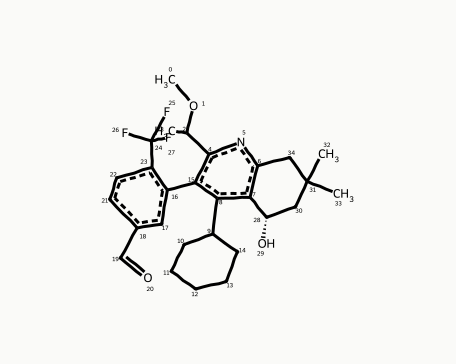 COC(C)c1nc2c(c(C3CCCCC3)c1-c1cc(C=O)ccc1C(F)(F)F)[C@@H](O)CC(C)(C)C2